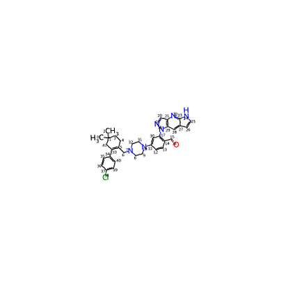 CC1(C)CCC(CN2CCN(c3ccc(C=O)c(-n4ncc5nc6[nH]ccc6cc54)c3)CC2)=C(c2ccc(Cl)cc2)C1